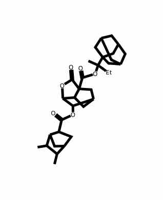 CCC(C)(OC(=O)C12CC3CC1C(OC2=O)C3OC(=O)C1CC2CC1C(C)C2C)C12CC3CC(CC(C3)C1)C2